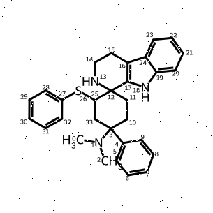 CN(C)C1(c2ccccc2)CCC2(NCCc3c2[nH]c2ccccc32)C(Sc2ccccc2)C1